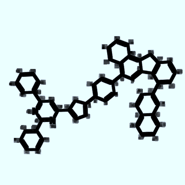 C1=C(c2ccc(-c3cc4c(c5ccccc35)Cc3cccc(-c5ccc6ccccc6c5)c3-4)cc2)CC(c2cc(-c3ccccc3)nc(-c3ccccc3)n2)=C1